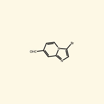 O=Cc1ccn2c(Br)cnc2c1